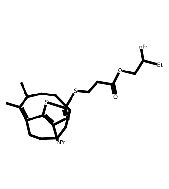 CCCc1nc(SCCC(=O)OCC(CC)CCC)sc1/C1=C(/C)C(C)CCCCCCC1